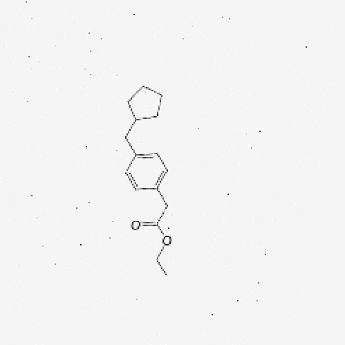 CCOC(=O)Cc1ccc(CC2CCCC2)cc1